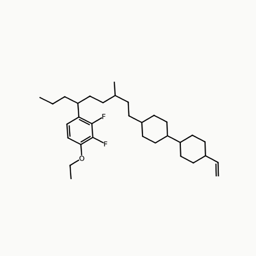 C=CC1CCC(C2CCC(CCC(C)CCC(CCC)c3ccc(OCC)c(F)c3F)CC2)CC1